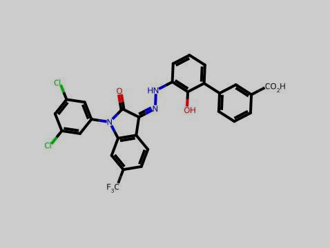 O=C(O)c1cccc(-c2cccc(NN=C3C(=O)N(c4cc(Cl)cc(Cl)c4)c4cc(C(F)(F)F)ccc43)c2O)c1